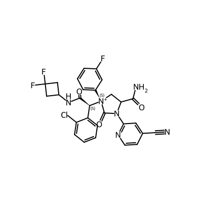 N#Cc1ccnc(N2C(=O)[N@+](c3cccc(F)c3)([C@H](C(=O)NC3CC(F)(F)C3)c3ccccc3Cl)CC2C(N)=O)c1